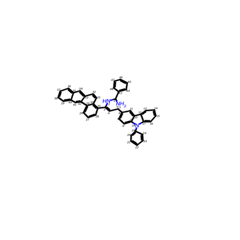 NC(N/C(=C\Cc1ccc2c(c1)c1ccccc1n2-c1ccccc1)c1cccc2c1ccc1cc3ccccc3cc12)c1ccccc1